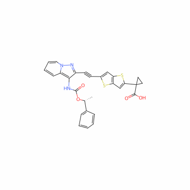 C[C@@H](OC(=O)Nc1c(C#Cc2cc3sc(C4(C(=O)O)CC4)cc3s2)nn2ccccc12)c1ccccc1